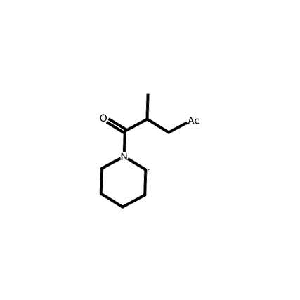 CC(=O)CC(C)C(=O)N1[CH]CCCC1